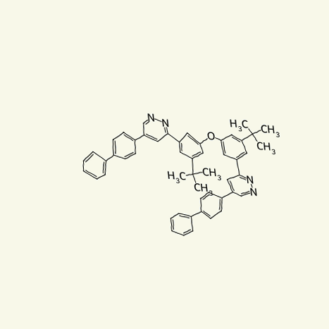 CC(C)(C)c1cc(Oc2cc(-c3cc(-c4ccc(-c5ccccc5)cc4)cnn3)cc(C(C)(C)C)c2)cc(-c2cc(-c3ccc(-c4ccccc4)cc3)cnn2)c1